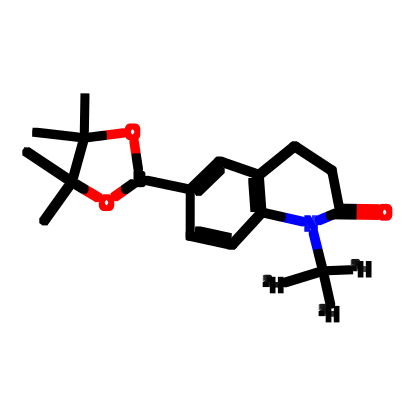 [2H]C([2H])([2H])N1C(=O)CCc2cc(B3OC(C)(C)C(C)(C)O3)ccc21